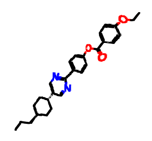 CCC[C@H]1CC[C@H](c2cnc(-c3ccc(OC(=O)c4ccc(OCC)cc4)cc3)nc2)CC1